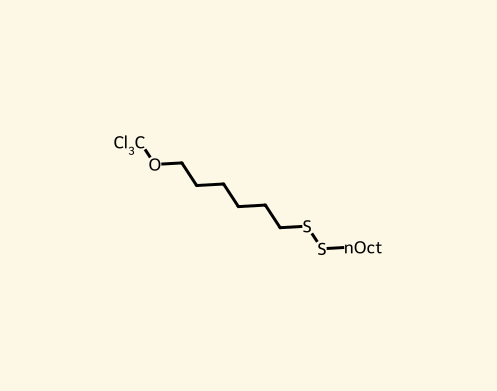 CCCCCCCCSSCCCCCCOC(Cl)(Cl)Cl